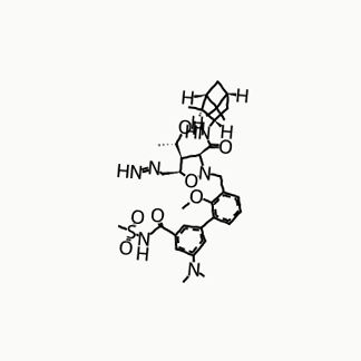 COc1c(CN2O[C@@H](CN=N)[C@@H]([C@H](C)O)[C@H]2C(=O)N[C@H]2C[C@H]3C[C@@H]([C@@H]2C)C3(C)C)cccc1-c1cc(C(=O)NS(C)(=O)=O)cc(N(C)C)c1